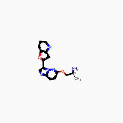 C[C@@H](N)COc1ccc2ncc(-c3cc4ncccc4o3)n2n1